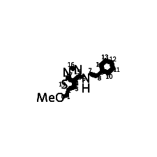 COCc1cc2c(NC=Cc3ccccc3)ncnc2s1